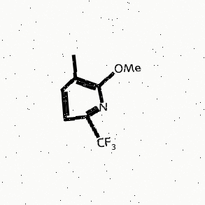 COc1nc(C(F)(F)F)ccc1C